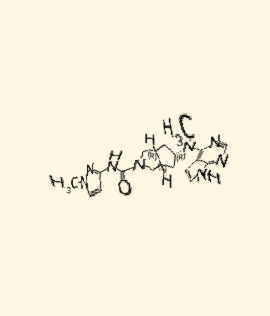 CN(c1ncnc2[nH]ccc12)[C@@H]1C[C@@H]2CN(C(=O)Nc3ccn(C)n3)C[C@@H]2C1